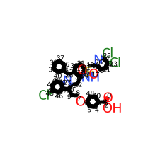 O=C(O)c1ccc(OCCc2c(CCNS(=O)(=O)Cc3ccc(Cl)c(Cl)n3)n(C(c3ccccc3)c3ccccc3)c3ccc(Cl)cc23)cc1